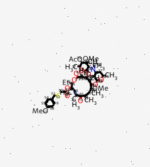 CC[C@H]1OC(=O)[C@H](C)[C@@H](O[C@H]2C[C@@](C)(OC)[C@@H](OC(C)=O)[C@H](C)O2)[C@H](C)[C@@H](O[C@@H]2O[C@H](C)C[C@H](N(C)C)[C@H]2OC(C)=O)[C@](C)(OC)C[C@@H](C)C(=O)/C(C)=C/[C@]1(C)OC(=O)CSCc1ccc(OC)cc1